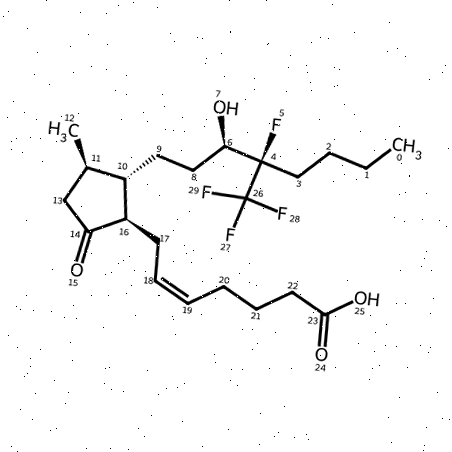 CCCC[C@@](F)([C@H](O)CC[C@H]1[C@H](C)CC(=O)[C@@H]1C/C=C\CCCC(=O)O)C(F)(F)F